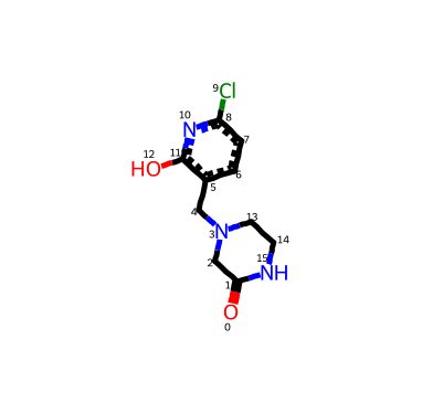 O=C1CN(Cc2ccc(Cl)nc2O)CCN1